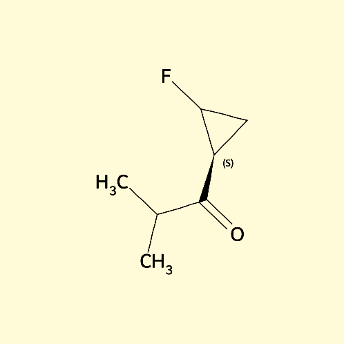 CC(C)C(=O)[C@@H]1CC1F